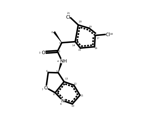 C[C@H](C(=O)N[C@@H]1COc2ncccc21)c1ccc(Cl)cc1Cl